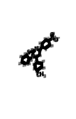 Cc1ccc(C2CC(c3ccc([N+](=O)[O-])cc3)N=C3Sc4ccccc4N32)cc1